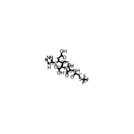 O=C(O)CC(Sc1nnn[nH]1)C1=C(C(=O)O)N2C(=O)C(NC(=O)CSC(F)(F)F)[C@@H]2SC1